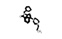 CCCN1CCCN(c2ccc3c4c(cccc24)C(=O)N3CC2CCCCC2)CC1